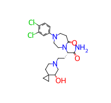 NC(=O)[C@H](CCN1CCC2(CC2)[C@H](O)C1)N1CCN(c2ccc(Cl)c(Cl)c2)CCC1=O